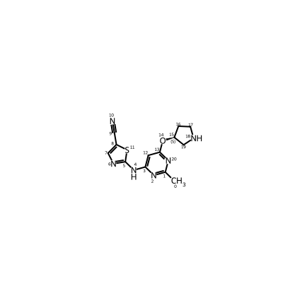 Cc1nc(Nc2ncc(C#N)s2)cc(O[C@H]2CCNC2)n1